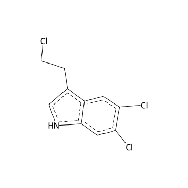 ClCCc1c[nH]c2cc(Cl)c(Cl)cc12